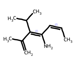 C=C(C)/C(=C(N)/C=C\C)C(C)C